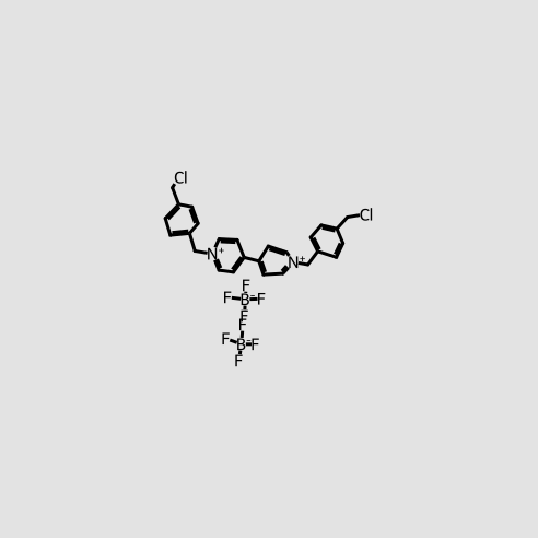 ClCc1ccc(C[n+]2ccc(-c3cc[n+](Cc4ccc(CCl)cc4)cc3)cc2)cc1.F[B-](F)(F)F.F[B-](F)(F)F